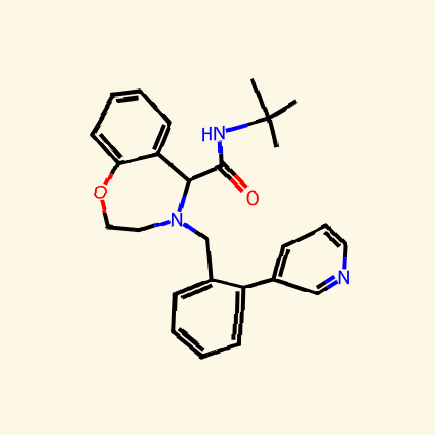 CC(C)(C)NC(=O)C1c2ccccc2OCCN1Cc1ccccc1-c1cccnc1